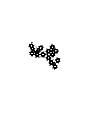 c1ccc(-n2c3ccccc3c3ccc(-c4ccc(N(c5ccc(-c6ccc7c(c6)C6(c8ccccc8-7)c7ccc8ccccc8c7Oc7c6ccc6ccccc76)cc5)c5ccc6c(c5)C(c5ccccc5)(c5ccccc5)c5ccccc5-6)cc4)cc32)cc1